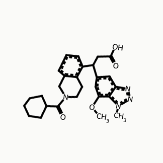 COc1cc(C(CC(=O)O)c2cccc3c2CCN(C(=O)C2CCCCC2)C3)cc2nnn(C)c12